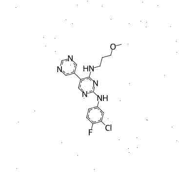 COCCCNc1nc(Nc2ccc(F)c(Cl)c2)ncc1-c1cncnc1